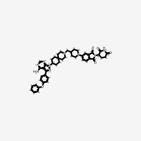 Nc1ncnc2c1c(-c1ccc(Oc3ccccc3)cc1)nn2C1CCC2(CC1)CCN(CC1CCN(c3ccc4c(c3)C(=O)N(C3CCC(=O)NC3=O)C4=O)CC1)CC2